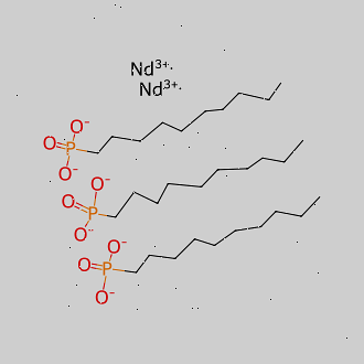 CCCCCCCCCCP(=O)([O-])[O-].CCCCCCCCCCP(=O)([O-])[O-].CCCCCCCCCCP(=O)([O-])[O-].[Nd+3].[Nd+3]